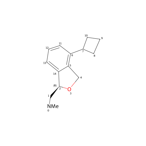 CNC[C@@H]1OCc2c(C3CCC3)cccc21